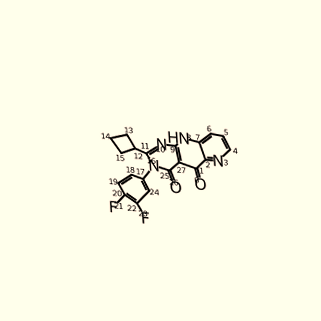 O=c1c2ncccc2[nH]c2nc(C3CCC3)n(-c3ccc(F)c(F)c3)c(=O)c12